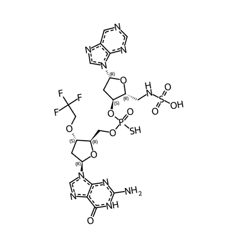 Nc1nc2c(ncn2[C@H]2C[C@H](OCC(F)(F)F)[C@@H](COP(=O)(S)O[C@H]3C[C@H](n4cnc5cncnc54)O[C@@H]3CNS(=O)(=O)O)O2)c(=O)[nH]1